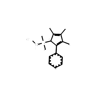 CC1=C(C)C([Si](C)(C)NC(C)(C)C)C(c2ccccc2)=C1C